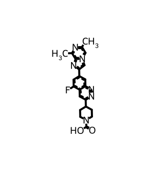 Cc1cn2cc(-c3cc(F)c4cc(C5CCN(C(=O)O)CC5)nnc4c3)nc2c(C)n1